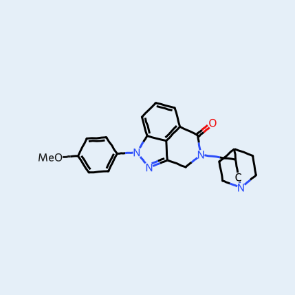 COc1ccc(-n2nc3c4c(cccc42)C(=O)N(C2CN4CCC2CC4)C3)cc1